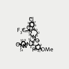 COc1ccc([C@@H]2CN(c3ccc(=O)n(C)n3)C[C@H]2C(=O)N2CCC[C@@H](c3ccc(Cl)cc3)N(C(=O)CC(F)(F)F)CC2)c(F)c1